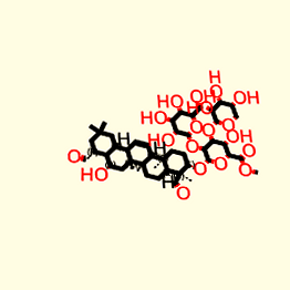 COC(=O)C1OC(O[C@H]2CC[C@]3(C)[C@H]4C=CC5[C@@H]6CC(C)(C)C[C@@H](C=O)C6[C@H](O)C[C@@]5(C)[C@]4(C)CC[C@H]3[C@]2(C)C=O)C(OC2OC(CO)C(O)C(O)C2O)C(OC2OCC(O)C(O)C2O)C1O